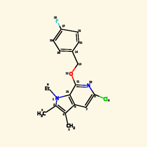 CCn1c(C)c(C)c2cc(Cl)nc(OCc3ccc(F)cc3)c21